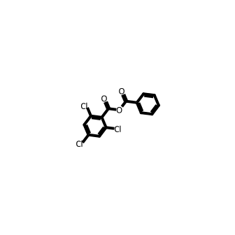 O=C(OC(=O)c1c(Cl)cc(Cl)cc1Cl)c1ccccc1